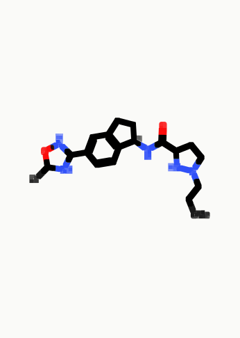 CCC1NC(c2ccc3c(c2)CC[C@H]3NC(=O)C2CCN(CCOC)N2)NO1